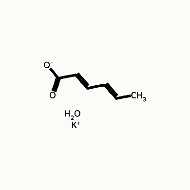 CC=CC=CC(=O)[O-].O.[K+]